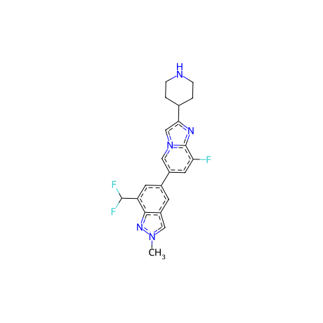 Cn1cc2cc(-c3cc(F)c4nc(C5CCNCC5)cn4c3)cc(C(F)F)c2n1